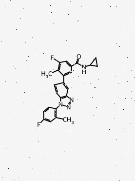 Cc1cc(F)ccc1-n1nnc2cc(-c3cc(C(=O)NC4CC4)cc(F)c3C)ccc21